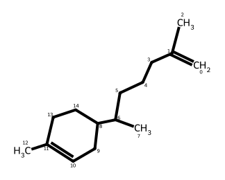 C=C(C)CCCC(C)C1CC=C(C)CC1